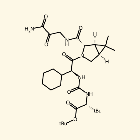 CC(C)(C)OC(=O)[C@H](NC(=O)N[C@H](C(=O)N1C[C@H]2[C@@H]([C@H]1C(=O)NCC(=O)C(N)=O)C2(C)C)C1CCCCC1)C(C)(C)C